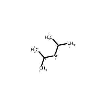 CC(C)[Se]C(C)C